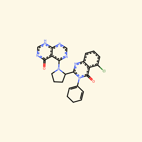 O=c1nc[nH]c2ncnc(N3CCCC3c3nc4cccc(Cl)c4c(=O)n3C3=CCCC=C3)c12